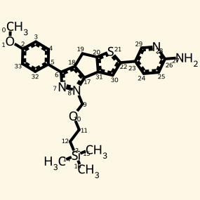 COc1ccc(-c2nn(COCC[Si](C)(C)C)c3c2Cc2sc(-c4ccc(N)nc4)cc2-3)cc1